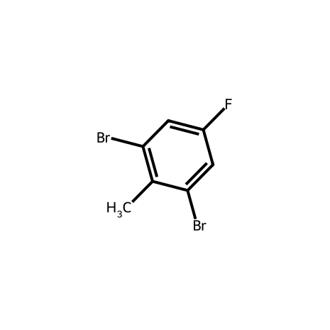 Cc1c(Br)cc(F)cc1Br